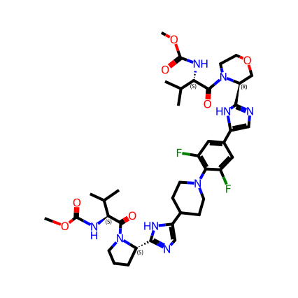 COC(=O)N[C@H](C(=O)N1CCOC[C@H]1c1ncc(-c2cc(F)c(N3CCC(c4cnc([C@@H]5CCCN5C(=O)[C@@H](NC(=O)OC)C(C)C)[nH]4)CC3)c(F)c2)[nH]1)C(C)C